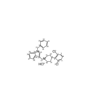 Cl.Clc1cccc(Cl)c1C1CCN(Cc2cn(Cc3ccccc3)c3ccccc23)CC1